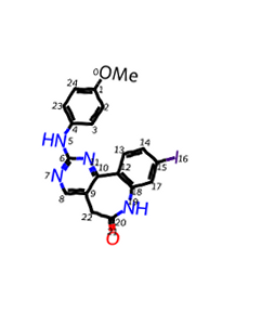 COc1ccc(Nc2ncc3c(n2)-c2ccc(I)cc2NC(=O)C3)cc1